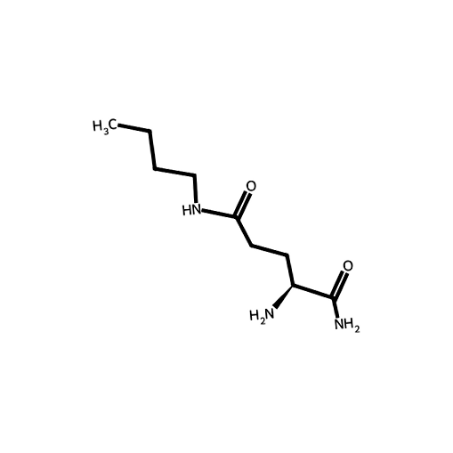 CCCCNC(=O)CC[C@H](N)C(N)=O